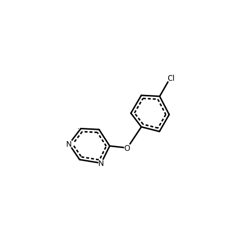 Clc1ccc(Oc2c[c]ncn2)cc1